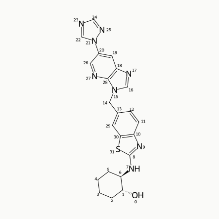 O[C@@H]1CCCC[C@H]1Nc1nc2ccc(Cn3cnc4cc(-n5cncn5)cnc43)cc2s1